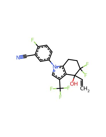 C=CC1(O)c2c(C(F)(F)F)cn(-c3ccc(F)c(C#N)c3)c2CCC1(F)F